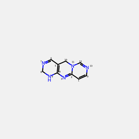 C1=CC2=NC3=C(C=NCN3)CN2C=N1